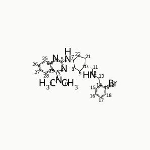 CN(C)c1nc(N[C@H]2CC[C@@H](CNCc3ccccc3Br)CC2)nc2ccccc12